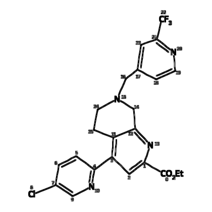 CCOC(=O)c1cc(-c2ccc(Cl)cn2)c2c(n1)CN(Cc1ccnc(C(F)(F)F)c1)CC2